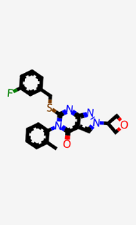 Cc1ccccc1-n1c(SCc2cccc(F)c2)nc2nn(C3COC3)cc2c1=O